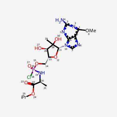 COc1nc(N)nc2c1ncn2[C@@H]1O[C@H](COP(=O)(Cl)N[C@@H](C)C(=O)OC(C)C)[C@@H](O)C1(C)O